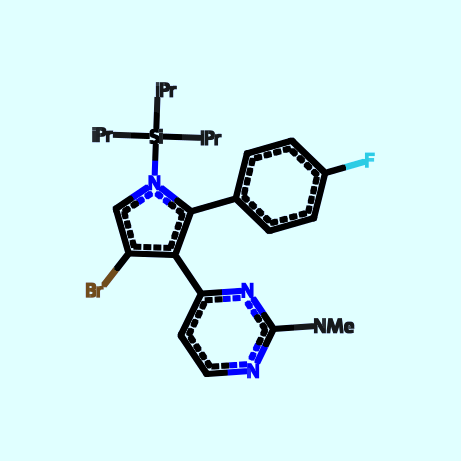 CNc1nccc(-c2c(Br)cn([Si](C(C)C)(C(C)C)C(C)C)c2-c2ccc(F)cc2)n1